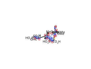 COc1cc2c(cc1O)/C(=N\NC(=O)OCCSSC[C@H](NC(=O)[C@H](CC(=O)O)NC(=O)[C@@H](N)CNC(=O)[C@H](Cc1ccccc1)NC(=O)[C@H](Cc1ccccc1)NC(=O)CCCCCCCNC(=O)CC[C@@H](C=O)NC(=O)N[C@@H](CCC(=O)O)C(=O)O)C(=O)O)c1c-2n(CCCN2CCOCC2)c(=O)c2cc(OC)c(OC)cc12